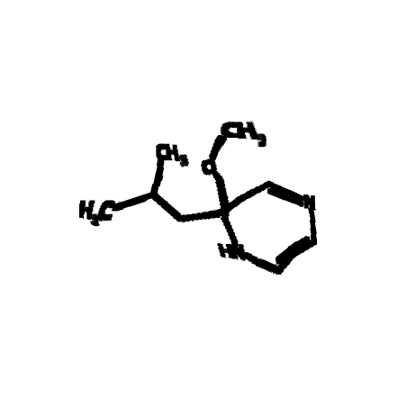 COC1(CC(C)C)C=NC=CN1